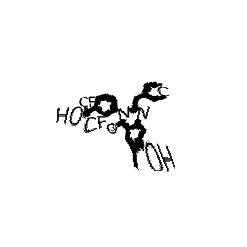 Cc1cc2c(=O)n(-c3cccc(C(O)(C(F)(F)F)C(F)(F)F)c3)c(Cc3ccccc3)nc2cc1O